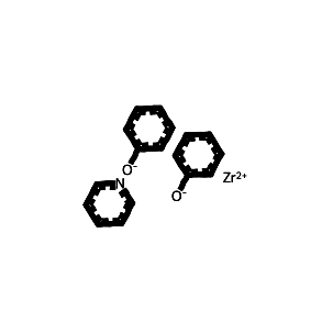 [O-]c1ccccc1.[O-]c1ccccc1.[Zr+2].c1ccncc1